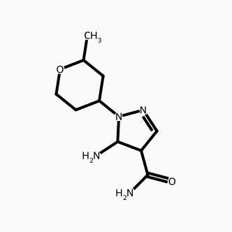 CC1CC(N2N=CC(C(N)=O)C2N)CCO1